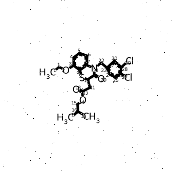 CCOc1cccc2c1SC(CC(=O)OCC(C)C)C(=O)N2Cc1ccc(Cl)c(Cl)c1